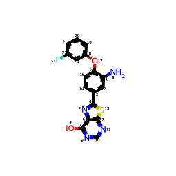 Nc1cc(-c2nc3c(O)ncnc3s2)ccc1Oc1cccc(F)c1